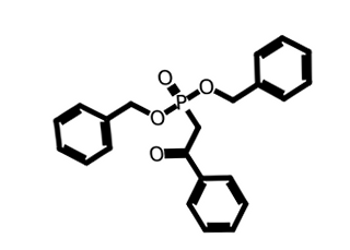 O=C(CP(=O)(OCc1ccccc1)OCc1ccccc1)c1ccccc1